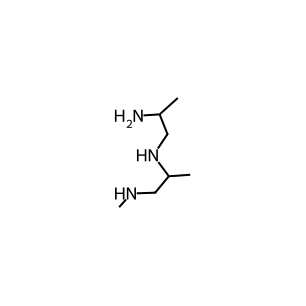 CNCC(C)NCC(C)N